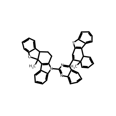 CC12C=CC=CC1c1c(sc3ccccc13)C=C2c1nc(-n2c3c(c4ccccc42)C2(C)Oc4ccccc4C2CC3)nc2ccccc12